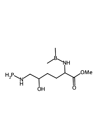 COC(=O)C(CCC(O)CNP)NB(C)C